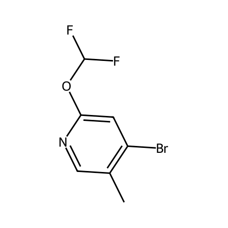 Cc1cnc(OC(F)F)cc1Br